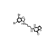 O=c1cc(NCCCN[C@@H]2COc3c(Br)cc(Br)cc32)[nH]c2ccsc12